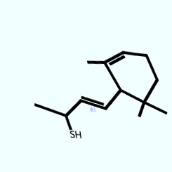 CC1=CCCC(C)(C)C1/C=C/C(C)S